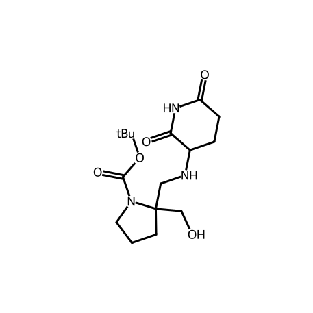 CC(C)(C)OC(=O)N1CCCC1(CO)CNC1CCC(=O)NC1=O